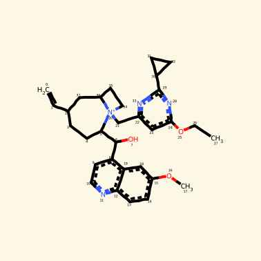 C=CC1CCC(C(O)c2ccnc3ccc(OC)cc23)[N+]2(Cc3cc(OCC)nc(C4CC4)n3)CCC2C1